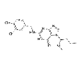 CCCC(OC)n1cnc2nc(NCc3ccc(Cl)c(Cl)c3)[nH]c(=O)c21